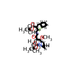 CO[C@H]([C@@H](C)C(=O)/C=C/CC(Cc1ccccc1F)C(=O)OC(C)(C)C)[C@@H]1C[C@H]2CC2N1C(=O)OC(C)(C)C